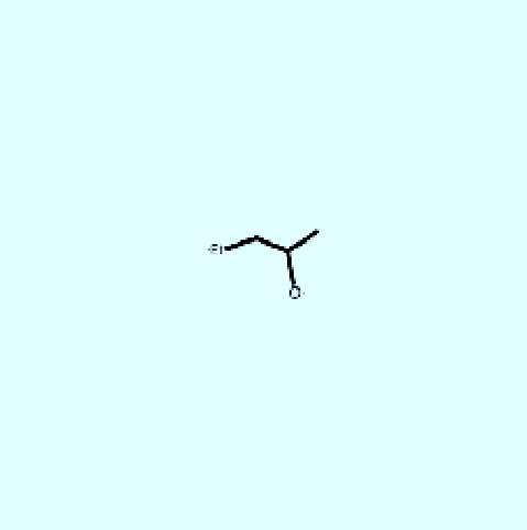 C[CH]CC(C)[O]